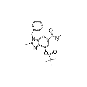 Cc1nc2c(OC(=O)C(C)(C)C)cc(C(=O)N(C)C)cc2n1Cc1ccccc1